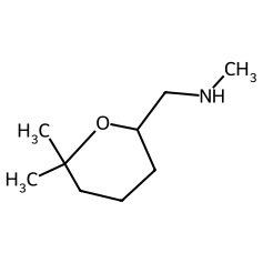 CNCC1CCCC(C)(C)O1